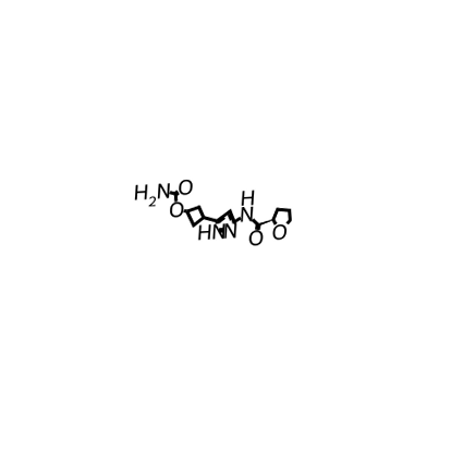 NC(=O)OC1CC(c2cc(NC(=O)[C@H]3CCCO3)n[nH]2)C1